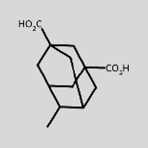 CC1C2CC3(C(=O)O)CC1CC(C(=O)O)(C2)C3